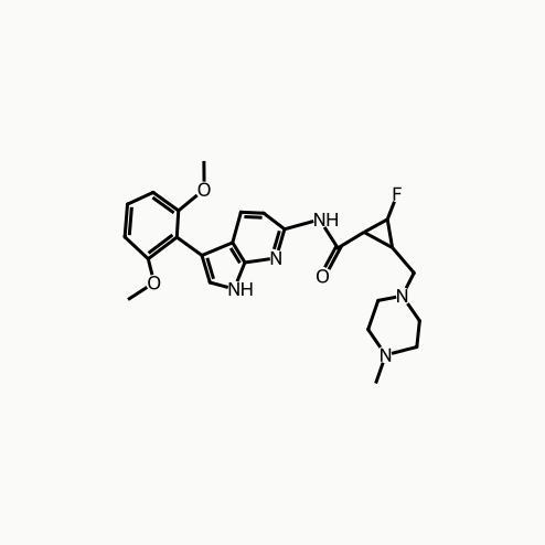 COc1cccc(OC)c1-c1c[nH]c2nc(NC(=O)C3C(F)C3CN3CCN(C)CC3)ccc12